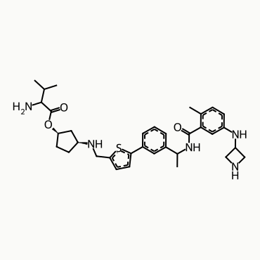 Cc1ccc(NC2CNC2)cc1C(=O)NC(C)c1cccc(-c2ccc(CN[C@H]3CC[C@@H](OC(=O)C(N)C(C)C)C3)s2)c1